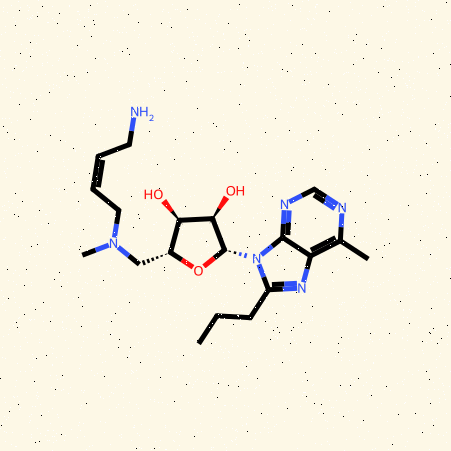 CCCc1nc2c(C)ncnc2n1[C@@H]1O[C@H](CN(C)C/C=C\CN)[C@@H](O)[C@H]1O